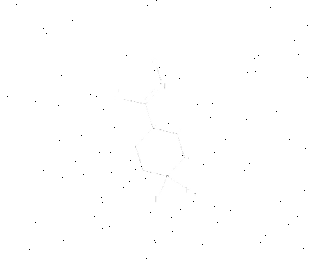 O/N=C(\Cl)C1CCC(F)(F)CC1